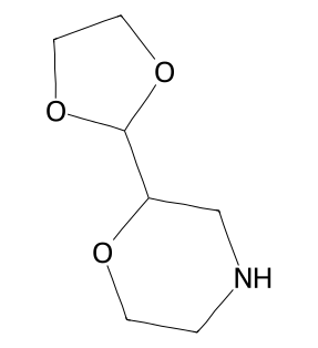 C1COC(C2OCCO2)CN1